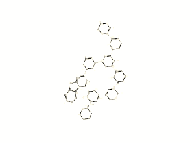 c1ccc(-c2cccc(-c3cc(-c4cccc(-c5ccccc5)c4)cc(-c4cccc(-c5nc(-c6cccc(-c7ccccc7)c6)c6c(n5)sc5ccccc56)c4)c3)c2)cc1